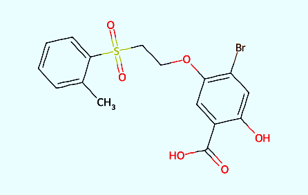 Cc1ccccc1S(=O)(=O)CCOc1cc(C(=O)O)c(O)cc1Br